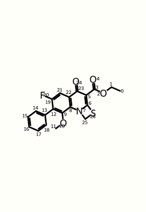 CCOC(=O)c1c2n(c3c(OC)c(-c4ccccc4)c(F)cc3c1=O)CS2